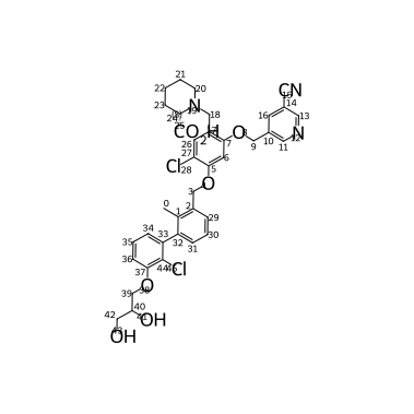 Cc1c(COc2cc(OCc3cncc(C#N)c3)c(CN3CCCC[C@H]3C(=O)O)cc2Cl)cccc1-c1cccc(OCC(O)CO)c1Cl